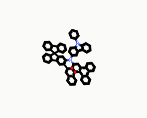 c1ccc(-n2c3ccccc3c3cc(N(c4ccc5c6ccccc6c6ccccc6c5c4)c4cc5c(cc4-c4ccc6ccccc6c4)-c4ccccc4C54c5ccccc5-c5ccccc54)ccc32)cc1